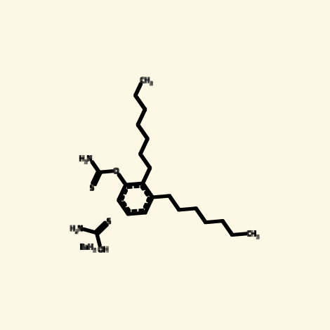 CCCCCCCc1cccc(OC(N)=S)c1CCCCCCC.NC(O)=S.[BaH2]